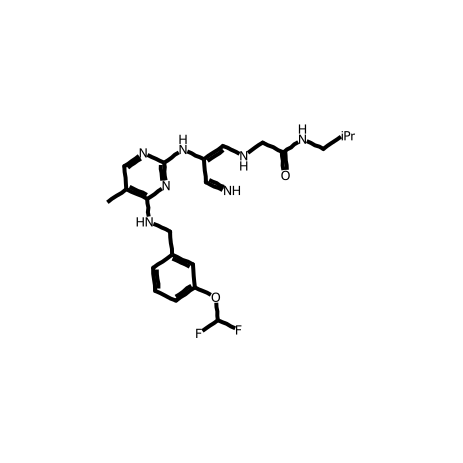 Cc1cnc(N/C(C=N)=C/NCC(=O)NCC(C)C)nc1NCc1cccc(OC(F)F)c1